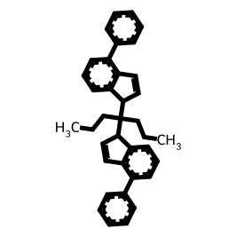 CCCC(CCC)(C1C=Cc2c(-c3ccccc3)cccc21)C1C=Cc2c(-c3ccccc3)cccc21